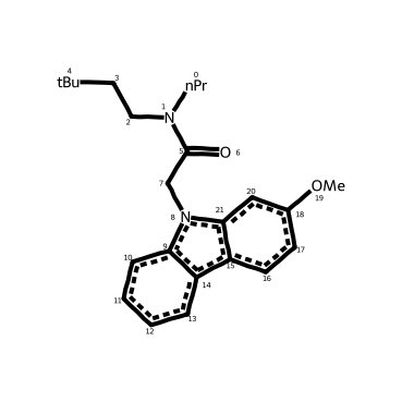 CCCN(CCC(C)(C)C)C(=O)Cn1c2ccccc2c2ccc(OC)cc21